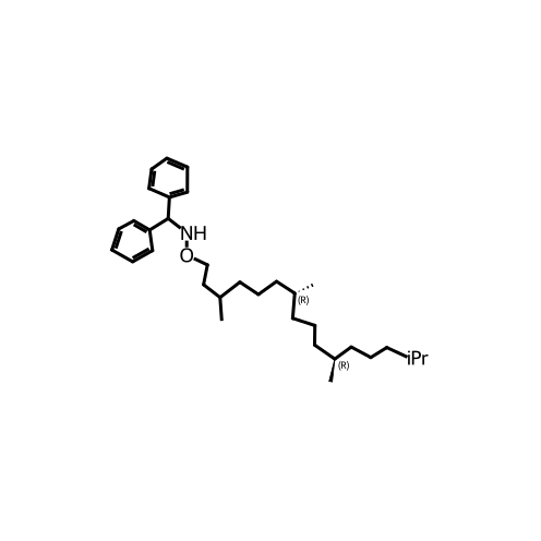 CC(C)CCC[C@@H](C)CCC[C@@H](C)CCCC(C)CCONC(c1ccccc1)c1ccccc1